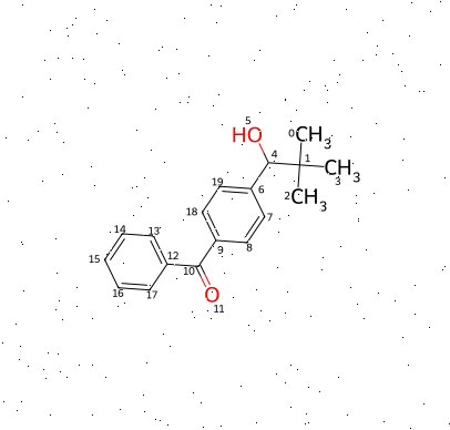 CC(C)(C)C(O)c1ccc(C(=O)c2ccccc2)cc1